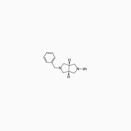 CC(C)N1C[C@H]2CN(Cc3ccccc3)C[C@H]2C1